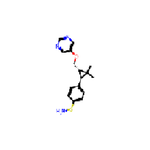 CC1(C)[C@@H](COc2cncnc2)[C@@H]1c1ccc(SN)cc1